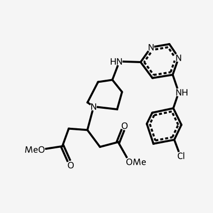 COC(=O)CC(CC(=O)OC)N1CCC(Nc2cc(Nc3cccc(Cl)c3)ncn2)CC1